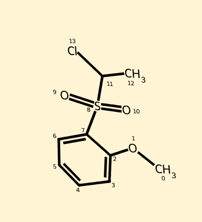 COc1ccccc1S(=O)(=O)C(C)Cl